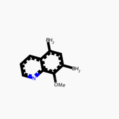 Bc1cc(B)c2cccnc2c1OC